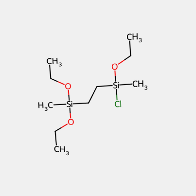 CCO[Si](C)(Cl)CC[Si](C)(OCC)OCC